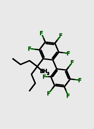 BC(CCC)(CCC)c1c(F)c(F)c(F)c(F)c1-c1c(F)c(F)c(F)c(F)c1F